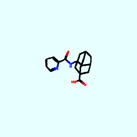 O=C(NC12CC3CC(C1)CC(C(=O)O)(C3)C2)c1ccccn1